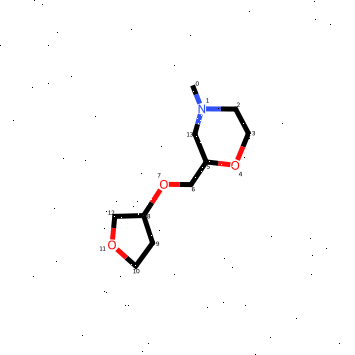 CN1CCOC(COC2CCOC2)C1